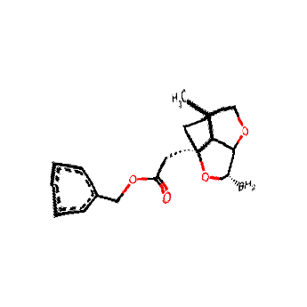 B[C@@H]1O[C@@]2(CC(=O)OCc3ccccc3)CC3(C)COC1C32